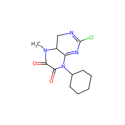 CN1C(=O)C(=O)N(C2CCCCC2)C2=NC(Cl)=NCC21